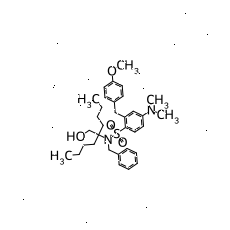 CCCCC(CO)(CCCC)N(Cc1ccccc1)S(=O)(=O)c1ccc(N(C)C)cc1Cc1ccc(OC)cc1